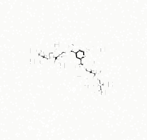 CC(C)(CO)COC(=O)C(C)(C)COC(=O)c1cc(C(=O)OCC(C)(C)C(=O)OCC(C)(C)CO)cc(S(=O)(=O)O)c1